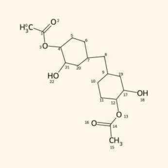 CC(=O)OC1CCC(CC2CCC(OC(C)=O)C(O)C2)CC1O